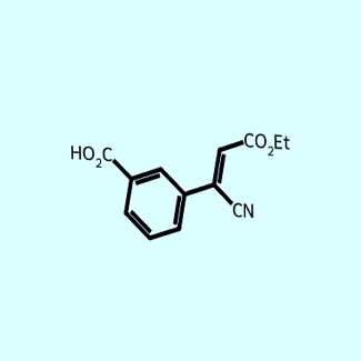 CCOC(=O)C=C(C#N)c1cccc(C(=O)O)c1